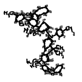 Cc1ccc(N(c2ccc3c(c2)C(C)(C)c2cc4c(cc2-3)C(C)(C)c2ccc3oc5ccccc5c3c2-4)c2ccc3c(c2)C(C)(C)c2cc(-c4c(C)cc(C)cc4C)c4oc5ccccc5c4c2-3)cc1